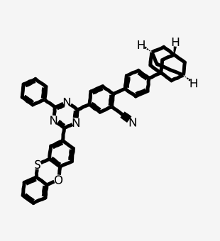 N#Cc1cc(-c2nc(-c3ccccc3)nc(-c3ccc4c(c3)Sc3ccccc3O4)n2)ccc1-c1ccc(C23C[C@H]4C[C@@H](C2)C[C@@H](C3)C4)cc1